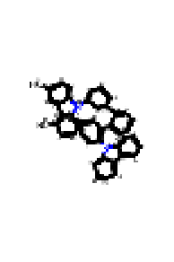 N#Cc1ccc(-n2c3ccccc3c3ccccc32)c(-c2ccccc2-c2cccc(-n3c4ccc(C#N)cc4c4c(C#N)cccc43)c2)c1